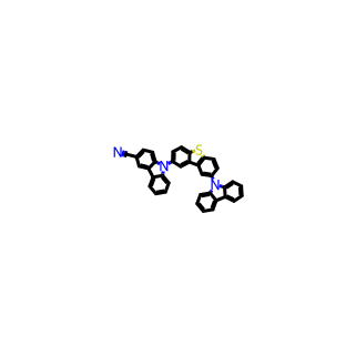 N#Cc1ccc2c(c1)c1ccccc1n2-c1ccc2sc3ccc(-n4c5ccccc5c5ccccc54)cc3c2c1